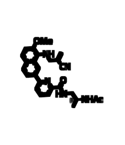 C=C(C#N)CNc1c(OC)ccc2ccc(-c3cccc(C(=O)NC[C@@H](C)NC(C)=O)n3)cc12